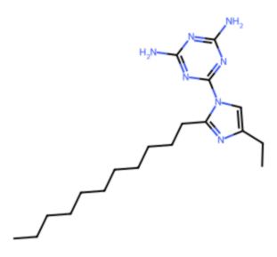 CCCCCCCCCCCc1nc(CC)cn1-c1nc(N)nc(N)n1